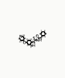 O=C(Cc1ccccc1)NC(=S)Nc1ccc(Oc2c[c]ncc2)cc1F